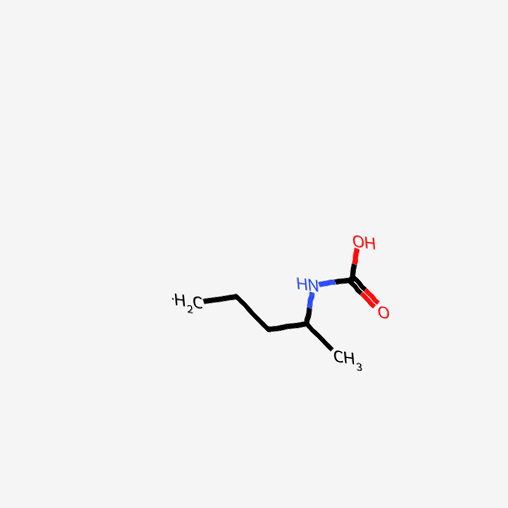 [CH2]CCC(C)NC(=O)O